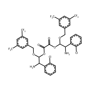 NC(c1ccccc1Cl)C(OCc1cc(C(F)(F)F)cc(C(F)(F)F)c1)OC(=O)C(=O)OC(OCc1cc(C(F)(F)F)cc(C(F)(F)F)c1)C(N)c1ccccc1Cl